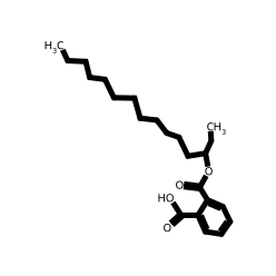 CCCCCCCCCCCCC(CC)OC(=O)c1ccccc1C(=O)O